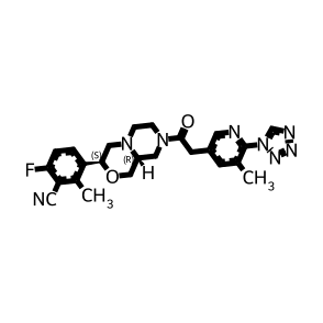 Cc1cc(CC(=O)N2CCN3C[C@H](c4ccc(F)c(C#N)c4C)OC[C@H]3C2)cnc1-n1cnnn1